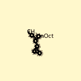 C=Cc1ccc(-n2c3ccc(CCCCCCCC)cc3c3cc(-c4ccc5c(c4)c4cccc6c7ccccc7n5c64)ccc32)cc1